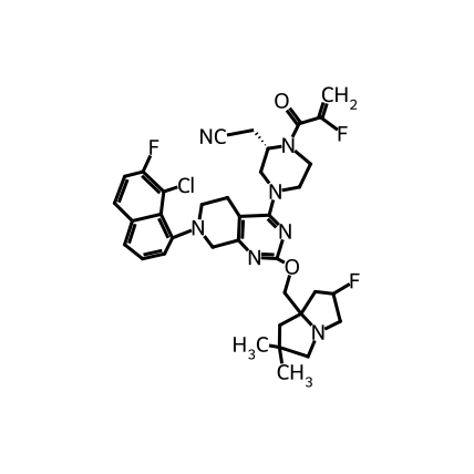 C=C(F)C(=O)N1CCN(c2nc(OCC34CC(F)CN3CC(C)(C)C4)nc3c2CCN(c2cccc4ccc(F)c(Cl)c24)C3)C[C@@H]1CC#N